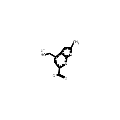 Cc1cc2c(CO)cc(C(=O)[O-])nc2s1.[Li+]